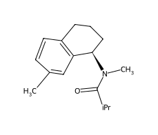 Cc1ccc2c(c1)[C@H](N(C)C(=O)C(C)C)CCC2